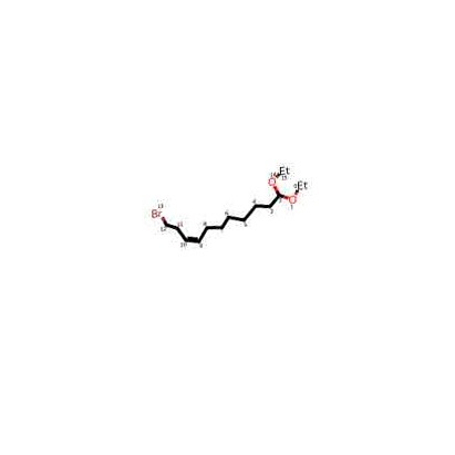 CCOC(CCCCCC/C=C\CCBr)OCC